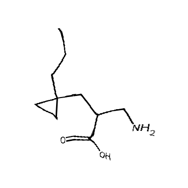 CCCC1(CC(CN)C(=O)O)CC1